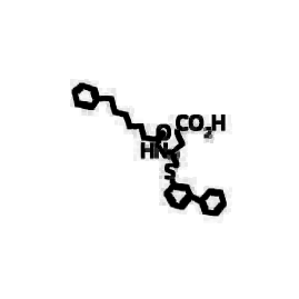 O=C(O)CC[C@@H](CSc1cccc(-c2ccccc2)c1)NC(=O)CCCCCCc1ccccc1